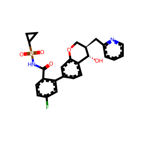 O=C(NS(=O)(=O)C1CC1)c1ccc(F)cc1-c1ccc2c(c1)OC[C@@H](Cc1ccccn1)[C@@H]2O